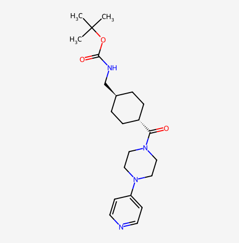 CC(C)(C)OC(=O)NC[C@H]1CC[C@H](C(=O)N2CCN(c3ccncc3)CC2)CC1